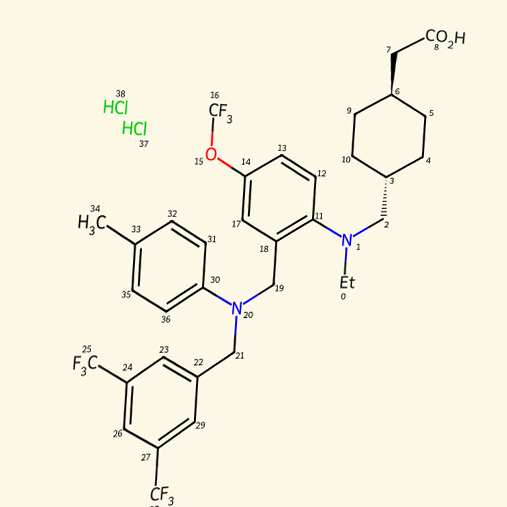 CCN(C[C@H]1CC[C@H](CC(=O)O)CC1)c1ccc(OC(F)(F)F)cc1CN(Cc1cc(C(F)(F)F)cc(C(F)(F)F)c1)c1ccc(C)cc1.Cl.Cl